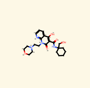 O=C(NC1(CO)CCCCC1)c1c(O)c2cccnc2n(CCN2CCOCC2)c1=O